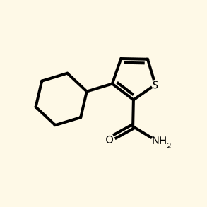 NC(=O)c1sccc1C1CCCCC1